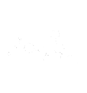 CCOC(=O)CC(CCc1ccccc1)NC(=O)CN1CCN(c2ccc(C(=N)N3CCOCC3)cc2)CC1=O